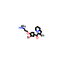 CC(C)c1cc2ccccn2c1C(=O)c1ccc(OCCCNC(C)(C)C)c(Br)c1